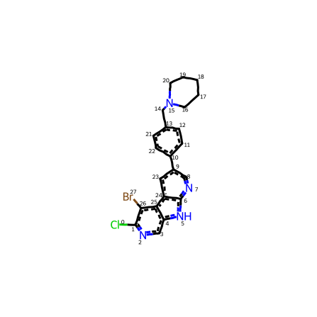 Clc1ncc2[nH]c3ncc(-c4ccc(CN5CCCCC5)cc4)cc3c2c1Br